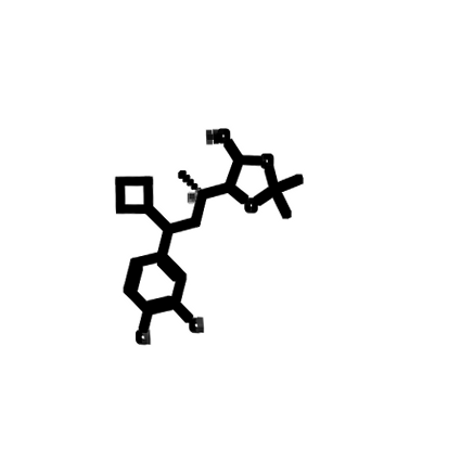 C[C@@H](CC(c1ccc(Cl)c(Cl)c1)C1CCC1)C1OC(C)(C)OC1O